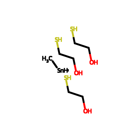 OCCS.OCCS.OCCS.[CH3][SnH]